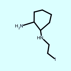 NC1CCCCC1NCCI